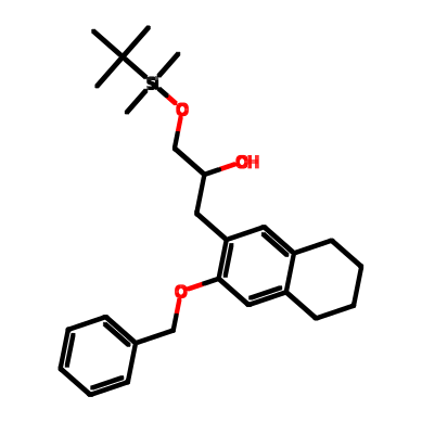 CC(C)(C)[Si](C)(C)OCC(O)Cc1cc2c(cc1OCc1ccccc1)CCCC2